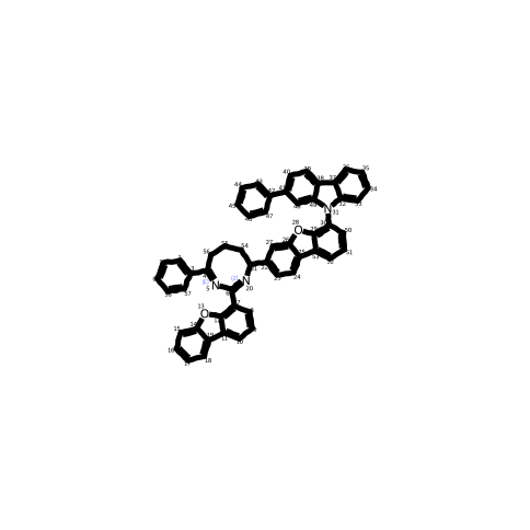 c1ccc(/C2=N/C(c3cccc4c3oc3ccccc34)=N\C(c3ccc4c(c3)oc3c(-n5c6ccccc6c6ccc(-c7ccccc7)cc65)cccc34)CCC2)cc1